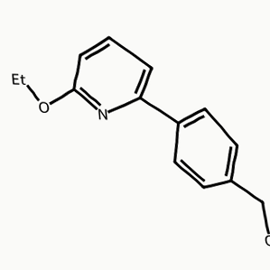 CCOc1cccc(-c2ccc(CO)cc2)n1